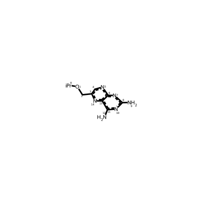 CC(C)OCc1cnc2nc(N)nc(N)c2n1